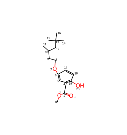 COC(=O)c1cc(OCCC(C)CC(C)(C)C)ccc1O